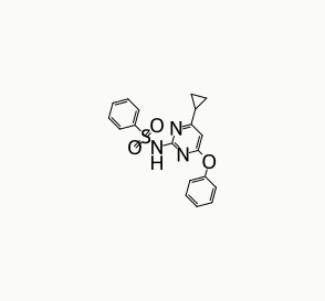 O=S(=O)(Nc1nc(Oc2ccccc2)cc(C2CC2)n1)c1ccccc1